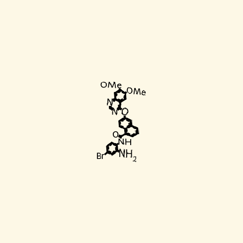 COc1cc2ncnc(Oc3ccc4c(C(=O)Nc5ccc(Br)cc5N)cccc4c3)c2cc1OC